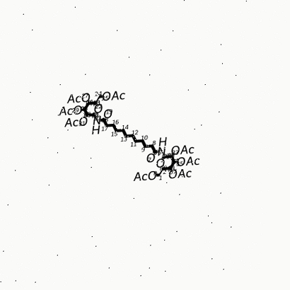 CC(=O)OC[C@H]1O[C@@H](NC(=O)CCCCCCCCCCC(=O)N[C@@H]2O[C@H](COC(C)=O)[C@@H](OC(C)=O)[C@H](OC(C)=O)[C@H]2OC(C)=O)[C@H](OC(C)=O)[C@@H](OC(C)=O)[C@@H]1OC(C)=O